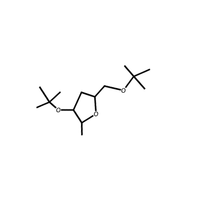 CC1OC(COC(C)(C)C)CC1OC(C)(C)C